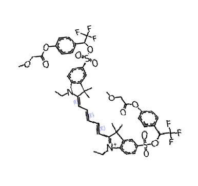 CCN1/C(=C/C=C/C=C/C2=[N+](CC)c3ccc(S(=O)(=O)OC(c4ccc(OC(=O)COC)cc4)C(F)(F)F)cc3C2(C)C)C(C)(C)c2cc(S(=O)(=O)OC(c3ccc(OC(=O)COC)cc3)C(F)(F)F)ccc21